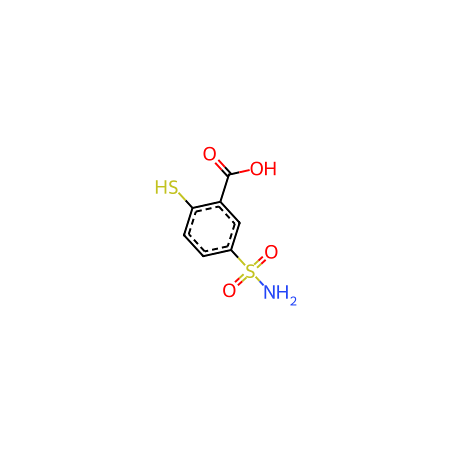 NS(=O)(=O)c1ccc(S)c(C(=O)O)c1